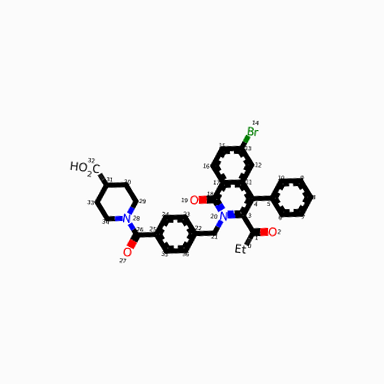 CCC(=O)c1c(-c2ccccc2)c2cc(Br)ccc2c(=O)n1Cc1ccc(C(=O)N2CCC(C(=O)O)CC2)cc1